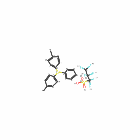 Cc1ccc([S+](c2ccccc2)c2ccc(C)cc2)cc1.O=S(=O)([O-])C(F)(F)C(F)(F)C(F)F